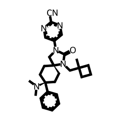 CN(C)[C@]1(c2ccccc2)CC[C@@]2(CC1)CN(c1cnc(C#N)nc1)C(=O)N2CC1(C)CCC1